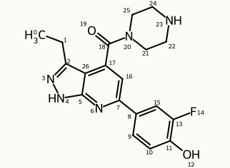 CCc1n[nH]c2nc(-c3ccc(O)c(F)c3)cc(C(=O)N3CCNCC3)c12